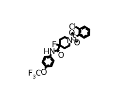 O=C(Nc1ccc(OC(F)(F)F)cc1)C1(F)CCN(S(=O)(=O)c2ccccc2Cl)CC1